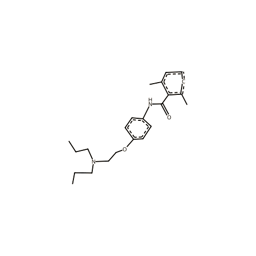 CCCN(CCC)CCOc1ccc(NC(=O)c2c(C)cccc2C)cc1